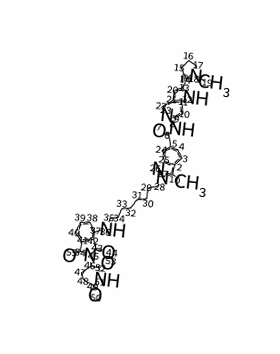 Cc1c2ccc(C(=O)Nc3cc4[nH]c([C@H]5CCCN5C)cc4cn3)cc2nn1CCCCCCCCNc1cccc2c1C(=O)N(C1CCC(=O)NC1=O)C2=O